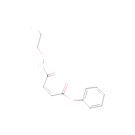 CCCONC(=O)/C=C\C(=O)Oc1ccccc1